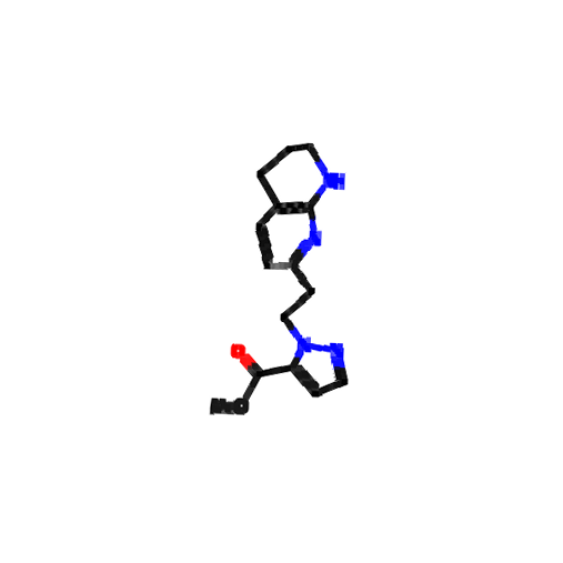 COC(=O)c1ccnn1CCc1ccc2c(n1)NCCC2